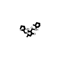 CCCc1c(C(=O)Nc2ccccc2C)c(=O)cc(C)n1Cc1ccccn1